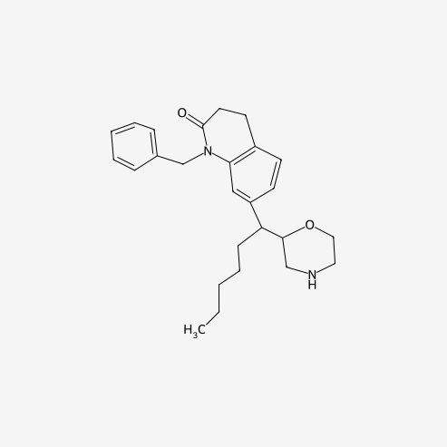 CCCCCC(c1ccc2c(c1)N(Cc1ccccc1)C(=O)CC2)C1CNCCO1